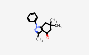 Cc1nn(-c2ccccc2)c2c1C(=O)CC(C)(C)C2